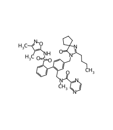 CCCCC1=NC2(CCCC2)C(=O)N1Cc1ccc(-c2ccccc2S(=O)(=O)Nc2onc(C)c2C)c(CN(C)C(=O)c2cnccn2)c1